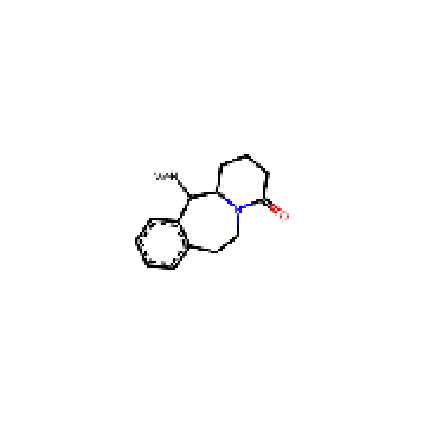 CNC1c2ccccc2CCN2C(=O)CCCC12